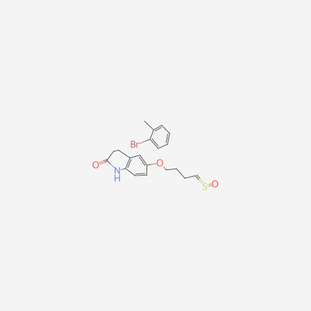 Cc1ccccc1Br.O=S=CCCCOc1ccc2c(c1)CCC(=O)N2